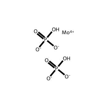 O=P([O-])([O-])O.O=P([O-])([O-])O.[Mo+4]